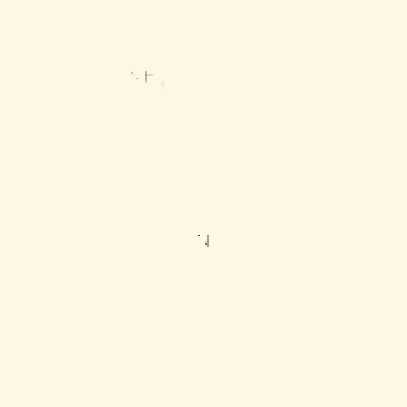 CCCCCCCCN(CCCCCCCC)CCCCCCCC.[SiH4]